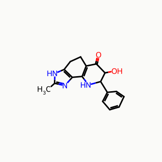 Cc1nc2c([nH]1)CCC1=C2NC(c2ccccc2)C(O)C1=O